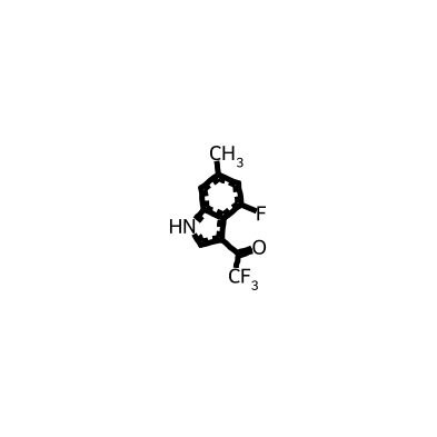 Cc1cc(F)c2c(C(=O)C(F)(F)F)c[nH]c2c1